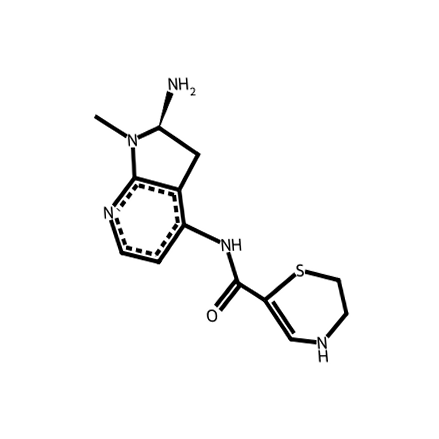 CN1c2nccc(NC(=O)C3=CNCCS3)c2C[C@@H]1N